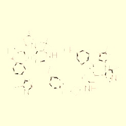 Cc1ncsc1-c1ccc([C@H](C)NC(=O)[C@@H]2C[C@@H](C)CN2C(=O)[C@@H](NC(=O)CCc2ccc(O[C@H]3C[C@@H](NC(=O)C[C@@H]4N=C(c5ccc(Cl)cc5)c5c(sc(C)c5C)-n5c(C)nnc54)C3)nc2)C(C)(C)C)cc1